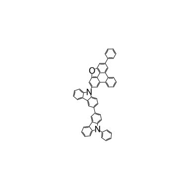 c1ccc(-c2cc3oc4cc(-n5c6ccccc6c6cc(-c7ccc8c(c7)c7ccccc7n8-c7ccccc7)ccc65)cc5c6ccccc6c(c2)c3c45)cc1